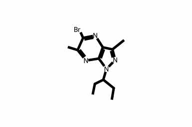 CCC(CC)n1nc(C)c2nc(Br)c(C)nc21